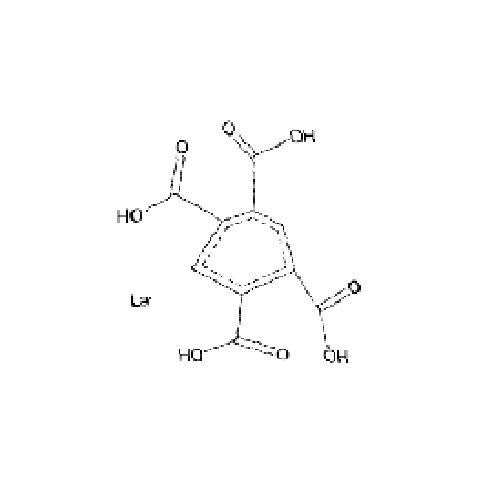 O=C(O)c1cc(C(=O)O)c(C(=O)O)cc1C(=O)O.[La]